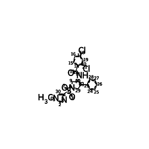 Cn1cnc(S(=O)(=O)N2C[C@H](NC(=O)c3ccc(Cl)cc3Cl)[C@@H](c3ccccc3)C2)c1